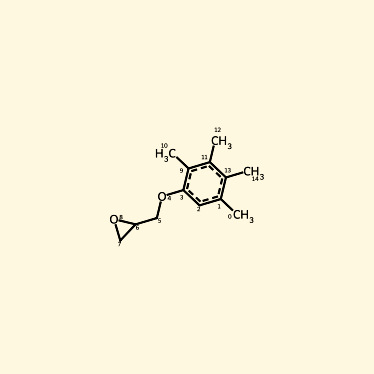 Cc1cc(OCC2CO2)c(C)c(C)c1C